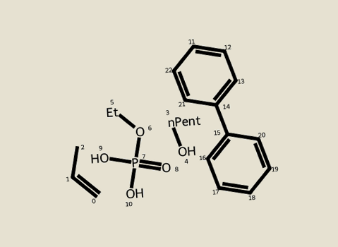 C=CC.CCCCCO.CCOP(=O)(O)O.c1ccc(-c2ccccc2)cc1